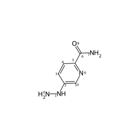 NNc1ccc(C(N)=O)nc1